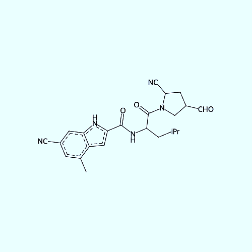 Cc1cc(C#N)cc2[nH]c(C(=O)NC(CC(C)C)C(=O)N3CC(C=O)CC3C#N)cc12